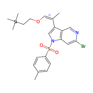 C/C(=C/OCC[Si](C)(C)C)c1cn(S(=O)(=O)c2ccc(C)cc2)c2cc(Br)ncc12